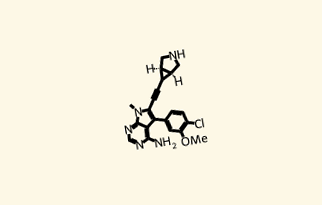 COc1cc(-c2c(C#CC3[C@H]4CNC[C@@H]34)n(C)c3ncnc(N)c23)ccc1Cl